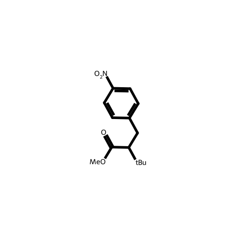 COC(=O)C(Cc1ccc([N+](=O)[O-])cc1)C(C)(C)C